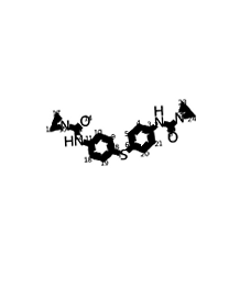 O=C(Nc1ccc(Sc2ccc(NC(=O)N3CC3)cc2)cc1)N1CC1